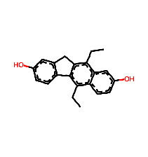 CCc1c2c(c(CC)c3ccc(O)cc13)-c1ccc(O)cc1C2